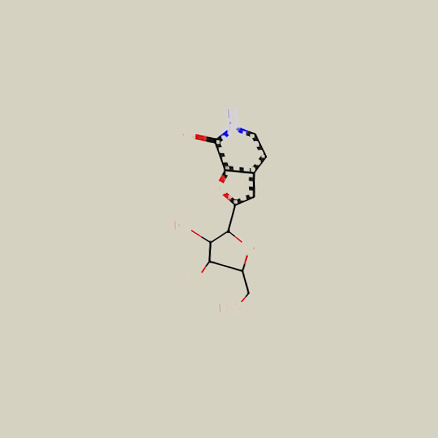 O=c1[nH]ccc2cc(C3OC(CO)C(O)C3O)oc12